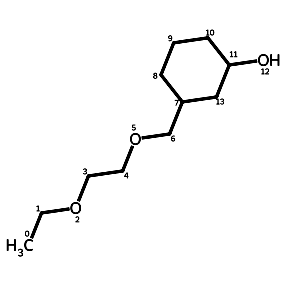 CCOCCOCC1CCCC(O)C1